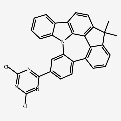 CC1(C)c2cccc3c2-c2c1ccc1c4ccccc4n(c21)-c1cc(-c2nc(Cl)nc(Cl)n2)ccc1-3